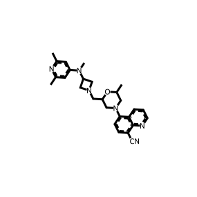 Cc1cc(N(C)C2CN(CC3CN(c4ccc(C#N)c5ncccc45)CC(C)O3)C2)cc(C)n1